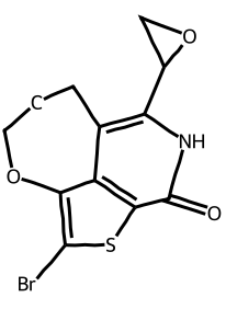 O=c1[nH]c(C2CO2)c2c3c(c(Br)sc13)OCCC2